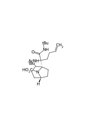 C=CCCC(NC(C)=O)(C(=O)NC(C)(C)C)[C@@]12CC[C@H](CCC1C(C)(C)C)N2C(=O)O